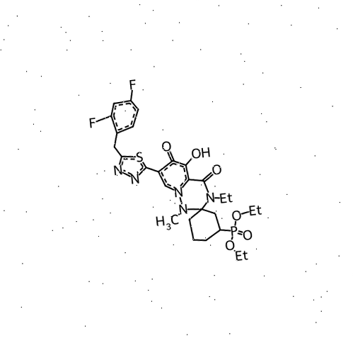 CCOP(=O)(OCC)C1CCCC2(C1)N(CC)C(=O)c1c(O)c(=O)c(-c3nnc(Cc4ccc(F)cc4F)s3)cn1N2C